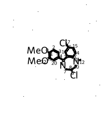 COc1ccc(C2=NCC(Cl)CN(C)c3ccc(Cl)cc32)cc1OC